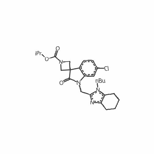 CCCCn1c(CN2C(=O)C3(CN(C(=O)OC(C)C)C3)c3ccc(Cl)cc32)nc2c1CCCC2